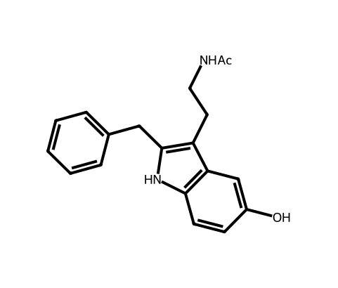 CC(=O)NCCc1c(Cc2ccccc2)[nH]c2ccc(O)cc12